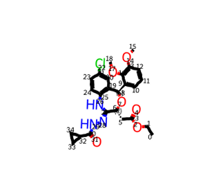 CCOC(=O)C[C@H]1O[C@H](c2cccc(OC)c2OC)c2cc(Cl)ccc2NC1=NNC(=O)C1CC1